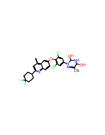 Cc1cc(C2CCC(F)(F)CC2)nc2ccc(Oc3c(Cl)cc(N4N=C(C#N)C(O)NC4O)cc3Cl)cc12